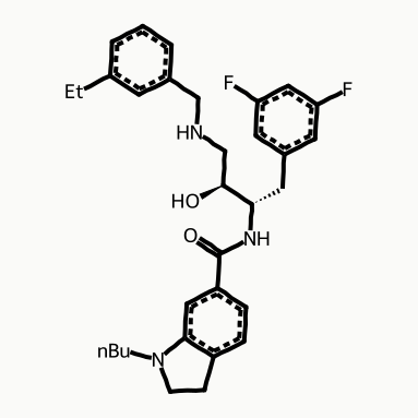 CCCCN1CCc2ccc(C(=O)N[C@@H](Cc3cc(F)cc(F)c3)[C@@H](O)CNCc3cccc(CC)c3)cc21